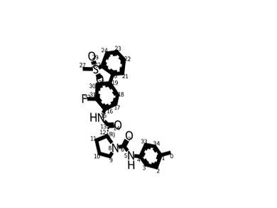 Cc1ccc(NC(=O)N2CCC[C@@H]2C(=O)Nc2ccc(-c3ccccc3S(C)(=O)=O)cc2F)cc1